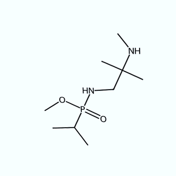 CNC(C)(C)CNP(=O)(OC)C(C)C